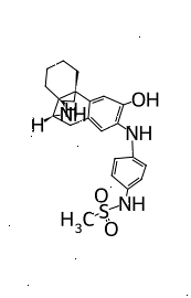 CS(=O)(=O)Nc1ccc(Nc2cc3c(cc2O)[C@@]24CCCC[C@H]2[C@@H](C3)NCC4)cc1